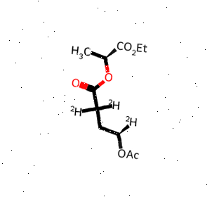 [2H][C@H](CC([2H])([2H])C(=O)O[C@@H](C)C(=O)OCC)OC(C)=O